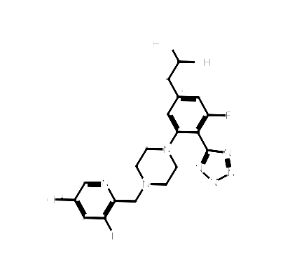 CC(C)Cc1cc(F)c(-c2nn[nH]n2)c(N2CCN(Cc3ncc(Cl)cc3F)CC2)c1